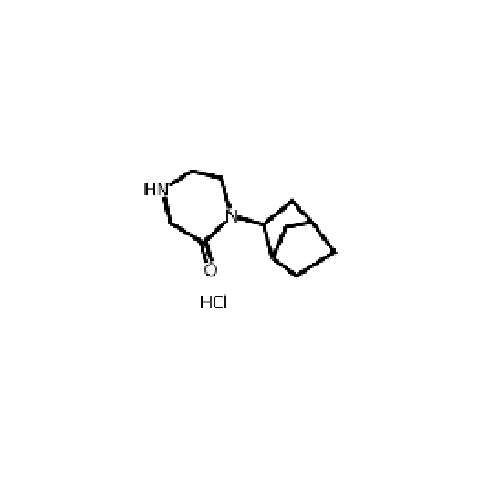 Cl.O=C1CNCCN1C1CC2CCC1C2